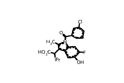 Cc1c(C(C(=O)O)C(C)C)c2cc(O)c(F)cc2n1C(=O)c1cccc(Cl)c1